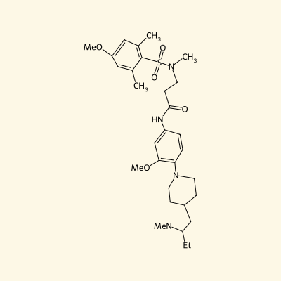 CCC(CC1CCN(c2ccc(NC(=O)CCN(C)S(=O)(=O)c3c(C)cc(OC)cc3C)cc2OC)CC1)NC